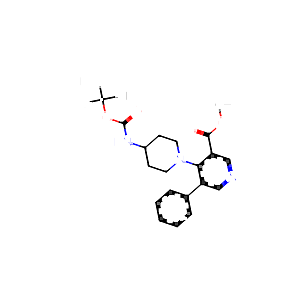 COC(=O)c1cncc(-c2ccccc2)c1N1CCC(NC(=O)OC(C)(C)C)CC1